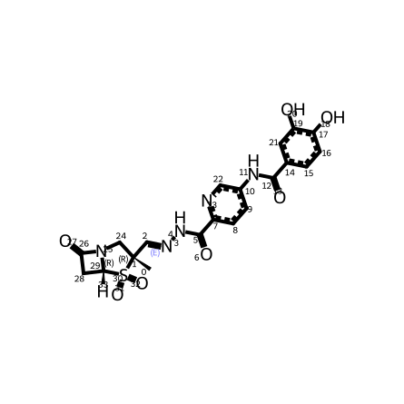 C[C@]1(/C=N/NC(=O)c2ccc(NC(=O)c3ccc(O)c(O)c3)cn2)CN2C(=O)C[C@H]2S1(=O)=O